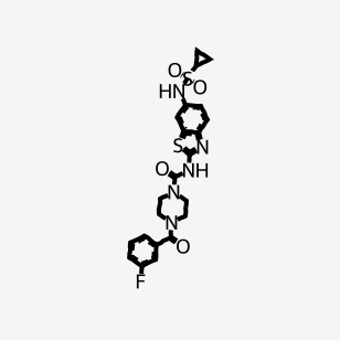 O=C(Nc1nc2ccc(NS(=O)(=O)C3CC3)cc2s1)N1CCN(C(=O)c2cccc(F)c2)CC1